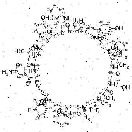 CC(C)C[C@@H]1NC(=O)[C@H](Cc2ccc(O)cc2)NC(=O)[C@H](Cc2c[nH]c3ccccc23)NC(=O)[C@@H](C)N(C)C(=O)[C@H](Cc2ccc(O)cc2)NC(=O)[C@H](Cc2ccccc2)N(C)C(=O)[C@H](C(C)C)NC(=O)[C@H](CCO)NC(=O)[C@@H](C)N(C)C(=O)[C@H](C)N(C)C(=O)[C@H](Cc2ccccc2)N(C)C(=O)[C@H](Cc2cc(F)c(F)c(F)c2)NC(=O)CSC[C@@H](C(=O)NCC(N)=O)NC1=O